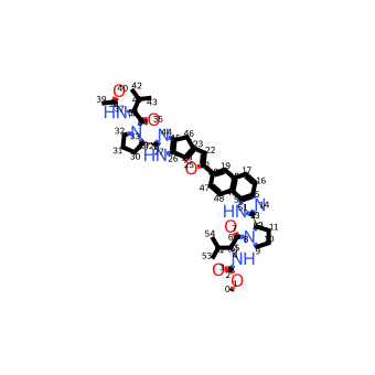 COC(=O)N[C@H](C(=O)N1CCC[C@H]1c1nc2ccc3cc(-c4cc5c(o4)-c4[nH]c([C@@H]6CCCN6C(=O)[C@@H](NC(C)=O)C(C)C)nc4C5)ccc3c2[nH]1)C(C)C